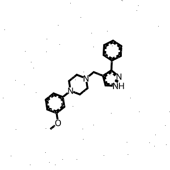 COc1cccc(N2CCN(Cc3c[nH]nc3-c3ccccc3)CC2)c1